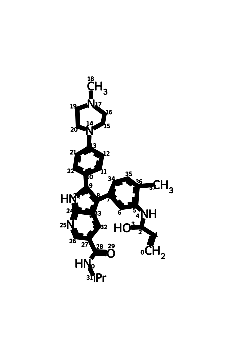 C=CC(O)Nc1cc(-c2c(-c3ccc(N4CCN(C)CC4)cc3)[nH]c3ncc(C(=O)NC(C)C)cc23)ccc1C